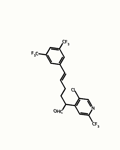 O=CC(CCC=Cc1cc(C(F)(F)F)cc(C(F)(F)F)c1)c1cc(C(F)(F)F)ncc1Cl